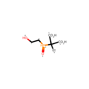 CCC(C(=O)O)(C(=O)O)[PH](=O)CCO